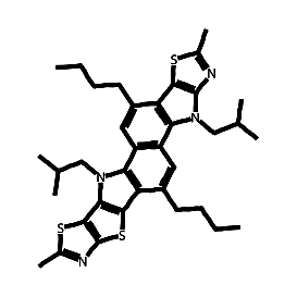 CCCCc1cc2c(cc(CCCC)c3c4sc5nc(C)sc5c4n(CC(C)C)c23)c2c1c1sc(C)nc1n2CC(C)C